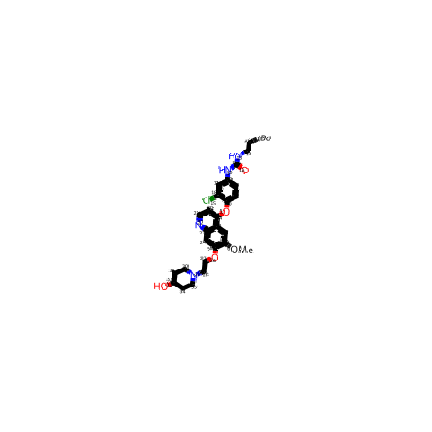 COc1cc2c(Oc3ccc(NC(=O)NCCC(C)(C)C)cc3Cl)ccnc2cc1OCCN1CCC(O)CC1